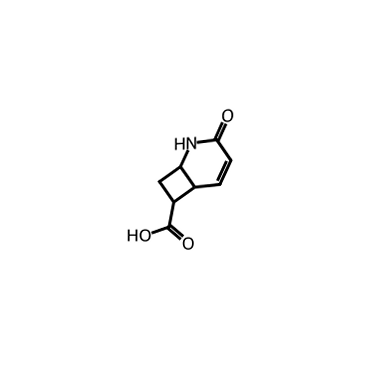 O=C1C=CC2C(CC2C(=O)O)N1